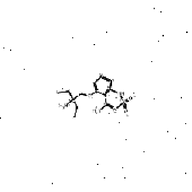 CCC(N)(CC)COc1cccc2c1C(N)=NS(=O)(=O)N2